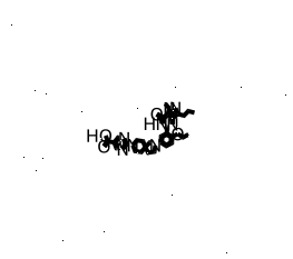 CCCc1nn(C)c2c(=O)[nH]c(-c3cc(N4CCC5(CCN(c6ncc(C(=O)O)cn6)CC5)C4)ccc3OCC)nc12